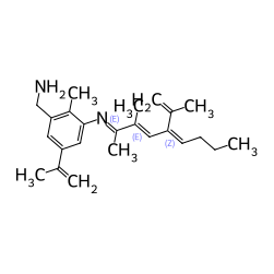 C=C(C)C(=C\CCC)/C=C(C)/C(C)=N/c1cc(C(=C)C)cc(CN)c1C